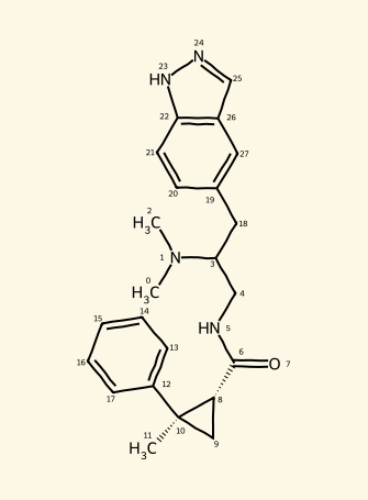 CN(C)C(CNC(=O)[C@@H]1C[C@@]1(C)c1ccccc1)Cc1ccc2[nH]ncc2c1